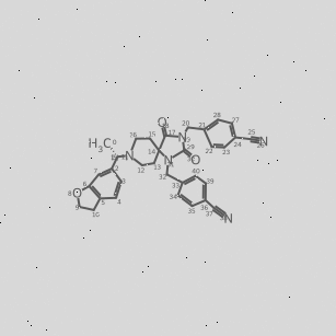 C[C@@H](c1ccc2c(c1)OCC2)N1CCC2(CC1)C(=O)N(Cc1ccc(C#N)cc1)C(=O)N2Cc1ccc(C#N)cc1